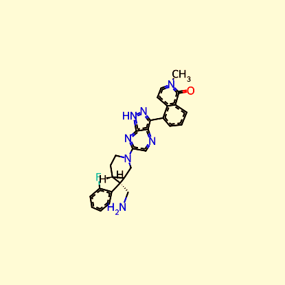 Cn1ccc2c(-c3n[nH]c4nc(N5CC[C@@H]6[C@H](C5)[C@@]6(CN)c5ccccc5F)cnc34)cccc2c1=O